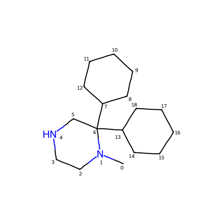 CN1CCNCC1(C1CCCCC1)C1CCCCC1